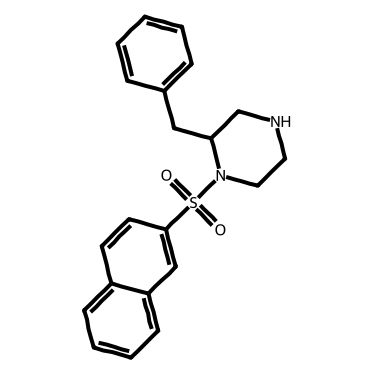 O=S(=O)(c1ccc2ccccc2c1)N1CCNCC1Cc1ccccc1